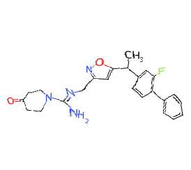 CC(c1ccc(-c2ccccc2)c(F)c1)c1cc(C/N=C(\N)N2CCC(=O)CC2)no1